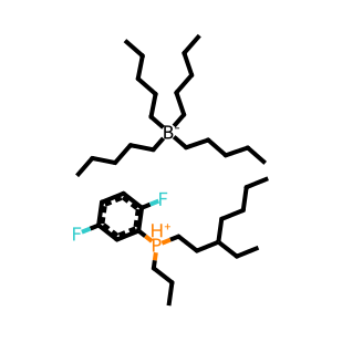 CCCCC(CC)CC[PH+](CCC)c1cc(F)ccc1F.CCCCC[B-](CCCCC)(CCCCC)CCCCC